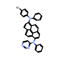 N#Cc1ccc(N(c2ccccc2)c2ccc3ccc4c(N(c5ccccc5)c5ccncn5)ccc5ccc2c3c54)cc1